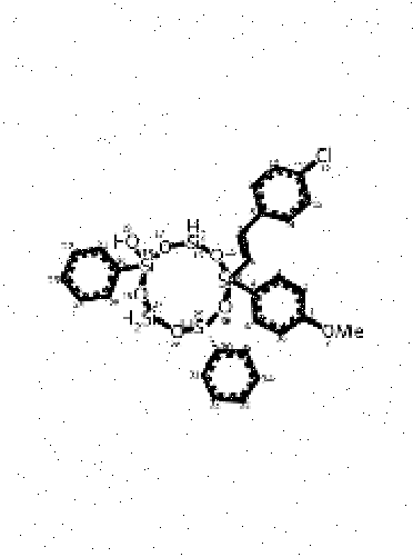 COc1ccc([Si]2(/C=C/c3ccc(Cl)cc3)O[SiH2]O[Si@@](O)(c3ccccc3)O[SiH2]O[Si@@H](c3ccccc3)O2)cc1